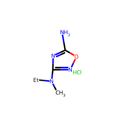 CCN(C)c1noc(N)n1.Cl